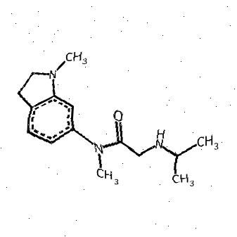 CC(C)NCC(=O)N(C)c1ccc2c(c1)N(C)CC2